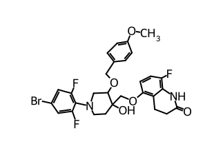 COc1ccc(COC2CN(c3c(F)cc(Br)cc3F)CCC2(O)COc2ccc(F)c3c2CCC(=O)N3)cc1